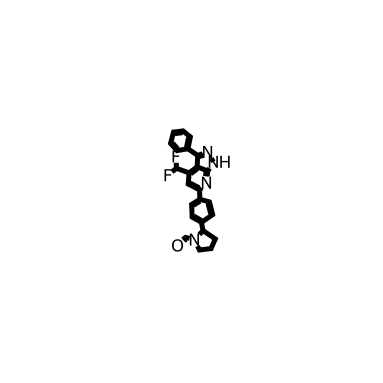 O=CN1CCCC1c1ccc(-c2cc(C(F)F)c3c(-c4ccccc4)n[nH]c3n2)cc1